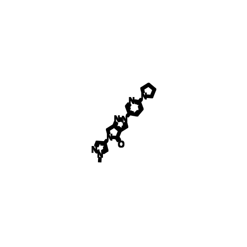 Cn1cc(N2Cc3nn(-c4ccc(N5CCCC5)nc4)cc3C2=O)cn1